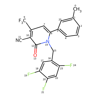 Cc1cccc(-c2cc(C(F)(F)F)c(C#N)c(=O)n2Cc2cc(F)c(F)cc2F)c1